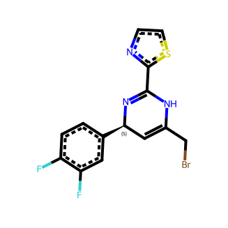 Fc1ccc([C@@H]2C=C(CBr)NC(c3nccs3)=N2)cc1F